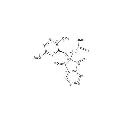 COC(=O)[C@H]1[C@H](c2cc(OC)ccc2OC)C12C(=O)c1ccccc1C2=O